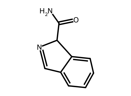 NC(=O)C1N=Cc2ccccc21